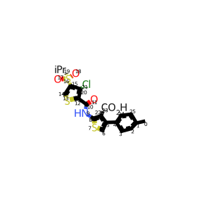 Cc1ccc(-c2csc(NC(=O)c3scc(S(=O)(=O)C(C)C)c3Cl)c2C(=O)O)cc1